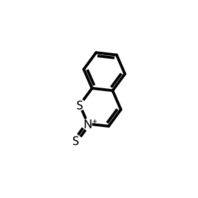 S=[n+]1ccc2ccccc2s1